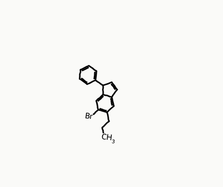 CCCc1cc2c(cc1Br)C(c1ccccc1)C=C2